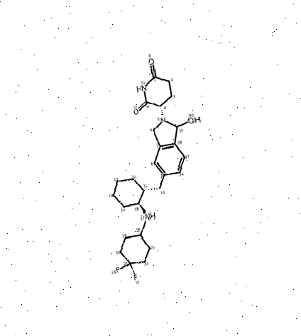 O=C1CC[C@H](N2Cc3cc(C[C@H]4CCCC[C@@H]4NC4CCC(F)(F)CC4)ccc3C2O)C(=O)N1